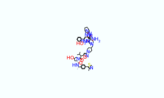 Cc1ncsc1-c1ccc([C@H](C)NC(=O)[C@@H]2C[C@@H](O)CN2C(=O)C(c2cc(N3CCC(CN4CCC(c5cnc(N6C7CCC6CC(n6nc(N)c(N)c6/C=C(\N)c6ccccc6O)C7)nc5)CC4)CC3)no2)C(C)C)cc1